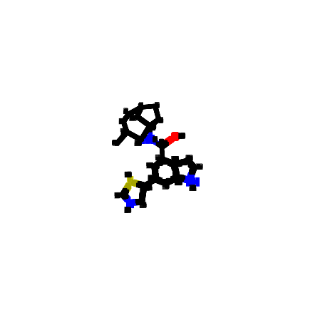 CC1CCC2CCC(NC(=O)c3cc(-c4cncs4)cc4[nH]ccc34)(C1)C2